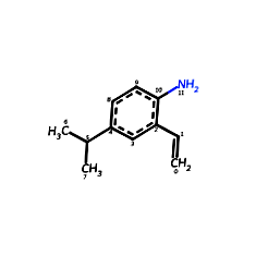 C=Cc1cc(C(C)C)ccc1N